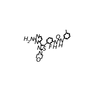 Cc1cccc(NC(=O)Nc2cccc(-c3sc(N4CCOCC4)nc3-c3ccnc(N)n3)c2F)c1